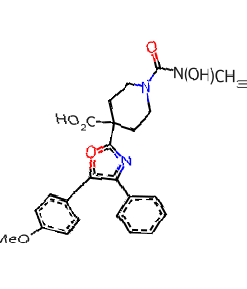 COc1ccc(-c2oc(C3(C(=O)O)CCN(C(=O)N(C)O)CC3)nc2-c2ccccc2)cc1